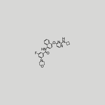 O=C(Nc1ccc(Oc2ccnc(NC3CCC3)n2)c2ccccc12)c1cc(F)cc(N2CCOCC2)c1